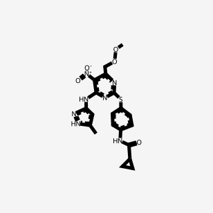 COOCc1nc(Sc2ccc(NC(=O)C3CC3)cc2)nc(Nc2cc(C)[nH]n2)c1[N+](=O)[O-]